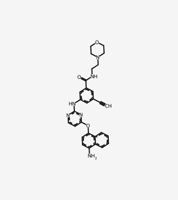 C#Cc1cc(Nc2nccc(Oc3ccc(N)c4ccccc34)n2)cc(C(=O)NCCN2CCOCC2)c1